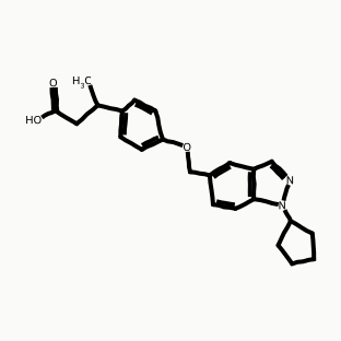 CC(CC(=O)O)c1ccc(OCc2ccc3c(cnn3C3CCCC3)c2)cc1